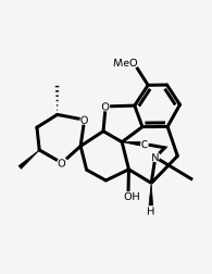 COc1ccc2c3c1OC1C4(CCC5(O)[C@@H](C2)N(C)CC[C@]315)O[C@@H](C)C[C@H](C)O4